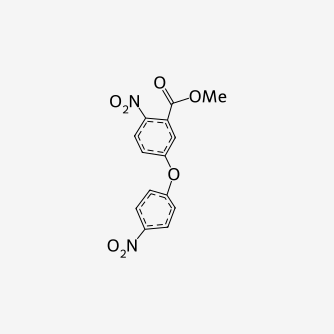 COC(=O)c1cc(Oc2ccc([N+](=O)[O-])cc2)ccc1[N+](=O)[O-]